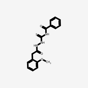 COc1ccccc1CC(=O)NNC(=S)NC(=O)c1ccccc1